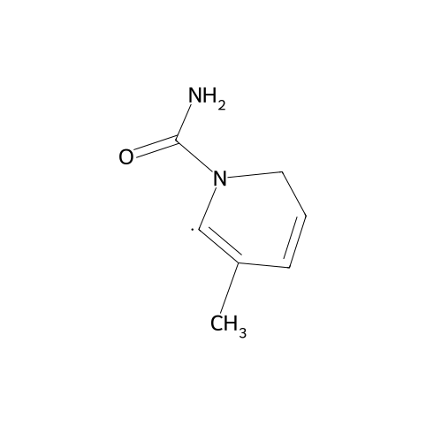 CC1=[C]N(C(N)=O)CC=C1